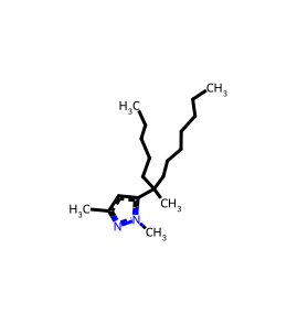 CCCCCCCC(C)(CCCCC)c1cc(C)nn1C